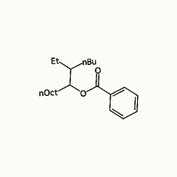 CCCCCCCCC(OC(=O)c1ccccc1)C(CC)CCCC